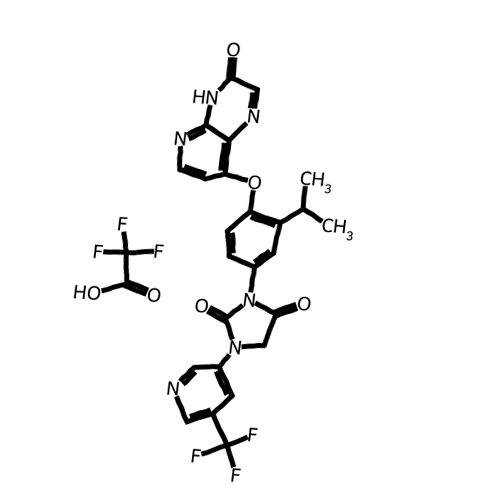 CC(C)c1cc(N2C(=O)CN(c3cncc(C(F)(F)F)c3)C2=O)ccc1Oc1ccnc2[nH]c(=O)cnc12.O=C(O)C(F)(F)F